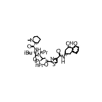 CCCO[C@H](CC(C(C)C)N(CCC)C(=O)[C@@H](NC(=O)[C@H]1CCCCN1C)[C@@H](C)CC)c1nc(C(=O)N[C@H]2Cc3ccccc3[C@H](C=O)C2)cs1